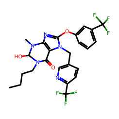 CCCCN1C(=O)c2c(nc(Oc3cccc(C(F)(F)F)c3)n2Cc2ccc(C(F)(F)F)nc2)N(C)C1O